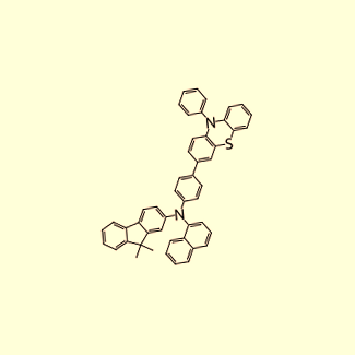 CC1(C)c2ccccc2-c2ccc(N(c3ccc(-c4ccc5c(c4)Sc4ccccc4N5c4ccccc4)cc3)c3cccc4ccccc34)cc21